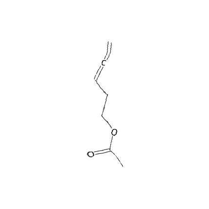 C=C=CCCOC(C)=O